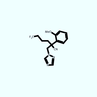 COc1ccccc1C(C#N)(CCCC(F)(F)F)Cn1cncn1